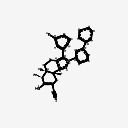 C[C@H]1C(O)=C(C#N)C[C@@]2(C)c3nn(-c4cccc(-c5ccccc5)c4)c(-c4cccc(F)c4)c3CC[C@H]12